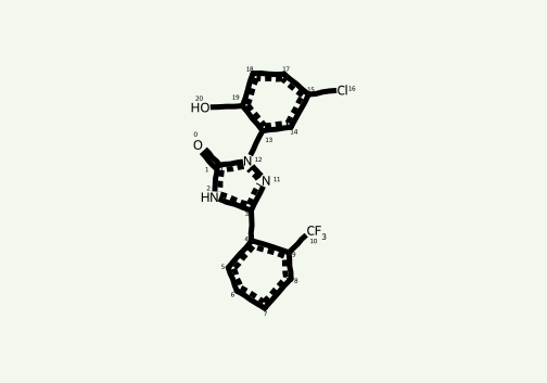 O=c1[nH]c(-c2ccccc2C(F)(F)F)nn1-c1cc(Cl)ccc1O